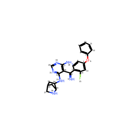 N=C(c1ccc(Oc2ccccc2)cc1F)c1c(N)ncnc1NC1CC2CNC1C2